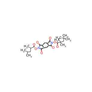 CC(C)CC(C)C(=O)On1c(=O)c2cc3c(=O)n(OC(=O)C(C)(C)CC(C)(C)C)c(=O)c3cc2c1=O